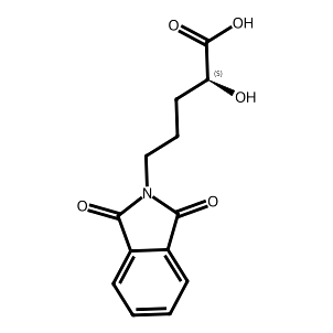 O=C(O)[C@@H](O)CCCN1C(=O)c2ccccc2C1=O